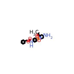 C=CC(=O)C1CC(N)CCN1S(=O)(=O)c1ccc(NC(=O)OCc2ccccc2)cc1